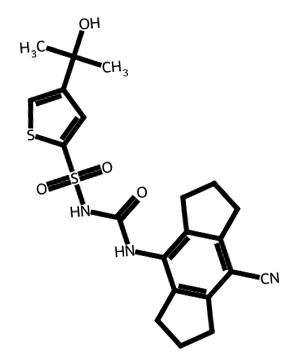 CC(C)(O)c1csc(S(=O)(=O)NC(=O)Nc2c3c(c(C#N)c4c2CCC4)CCC3)c1